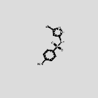 Nc1ccc(S(=O)(=O)Nc2cc(Cl)on2)cc1